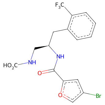 O=C(O)NC[C@@H](Cc1ccccc1C(F)(F)F)NC(=O)c1cc(Br)co1